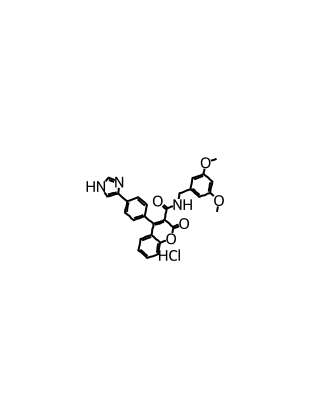 COc1cc(CNC(=O)c2c(-c3ccc(-c4c[nH]cn4)cc3)c3ccccc3oc2=O)cc(OC)c1.Cl